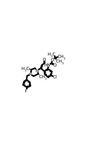 C[C@@H]1CN(Cc2ccc(F)cc2)[C@@H](C)CN1C(=CC=O)c1ccc(Cl)cc1NC(=O)OC(C)(C)C